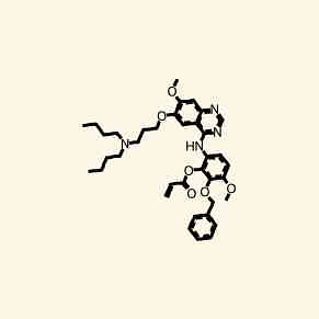 C=CC(=O)Oc1c(Nc2ncnc3cc(OC)c(OCCCN(CCCC)CCCC)cc23)ccc(OC)c1OCc1ccccc1